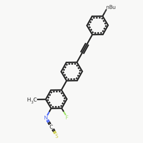 CCCCc1ccc(C#Cc2ccc(-c3cc(C)c(N=C=S)c(F)c3)cc2)cc1